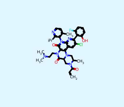 C=CC(=O)N1CC2C(=O)N(CCN(C)C)c3c(c4cc(Cl)c(-c5c(O)cccc5F)nc4n(-c4c(C)ccnc4C(C)C)c3=O)N2CC1C